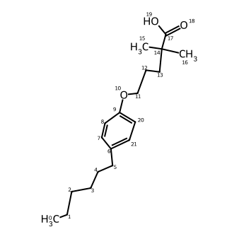 CCCCCCc1ccc(OCCCC(C)(C)C(=O)O)cc1